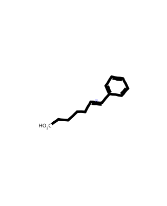 O=C(O)CCCC/C=C/c1ccccc1